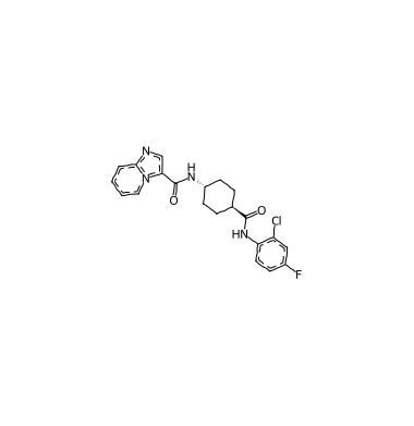 O=C(N[C@H]1CC[C@H](C(=O)Nc2ccc(F)cc2Cl)CC1)c1cnc2ccccn12